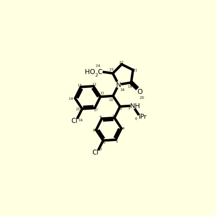 CC(C)NC(c1ccc(Cl)cc1)C(c1cccc(Cl)c1)N1C(=O)CCC1C(=O)O